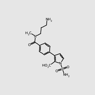 CN(CCCN)C(=O)c1ccc(-c2ccn(S(N)(=O)=O)c2C(=O)O)cc1